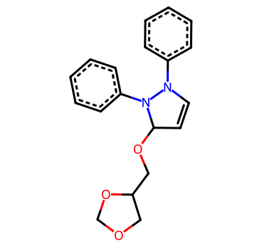 C1=CN(c2ccccc2)N(c2ccccc2)C1OCC1COCO1